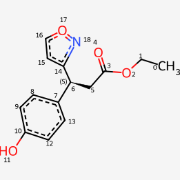 CCOC(=O)C[C@@H](c1ccc(O)cc1)c1ccon1